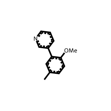 COc1ccc(C)cc1-c1cccnc1